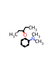 CCC(=O)CC.CN(C)c1ccccc1